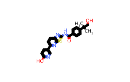 CC(C)(CO)c1ccc(C(=O)Nc2nc3ccc(-c4ccc(O)nc4)nc3s2)cc1